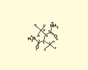 CC(C)(C)C(C(N)=O)C(C(N)=O)C(C)(C)C